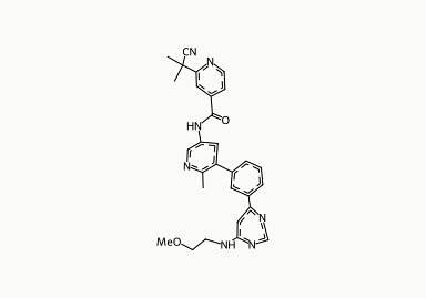 COCCNc1cc(-c2cccc(-c3cc(NC(=O)c4ccnc(C(C)(C)C#N)c4)cnc3C)c2)ncn1